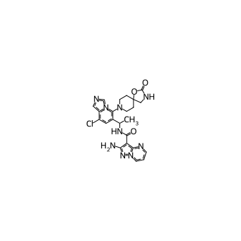 CC(NC(=O)c1c(N)nn2cccnc12)c1cc(Cl)c2cncn2c1N1CCC2(CC1)CNC(=O)O2